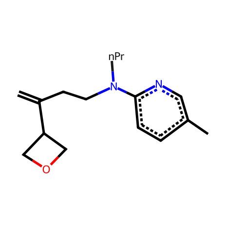 C=C(CCN(CCC)c1ccc(C)cn1)C1COC1